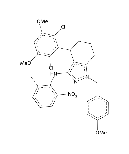 COc1ccc(Cn2nc(Nc3c(C)cccc3[N+](=O)[O-])c3c2CCCC3c2c(Cl)c(OC)cc(OC)c2Cl)cc1